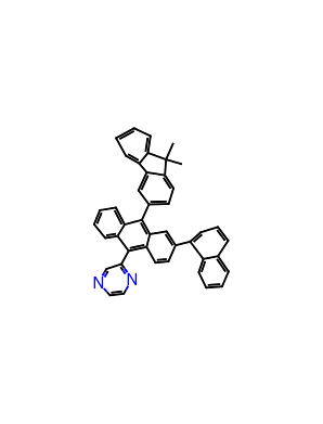 CC1(C)c2ccccc2-c2cc(-c3c4ccccc4c(-c4cnccn4)c4ccc(-c5cccc6ccccc56)cc34)ccc21